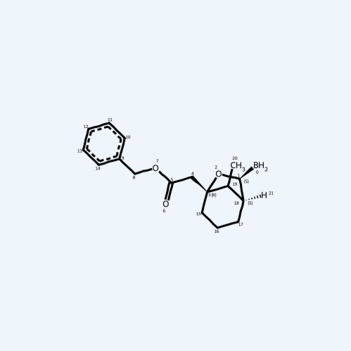 B[C@@H]1O[C@@]2(CC(=O)OCc3ccccc3)CCC[C@H]1C2C